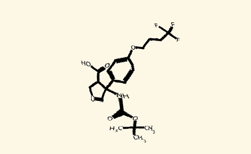 CC(C)(C)OC(=O)NC1(c2ccc(OCCCC(F)(F)F)cc2)COCC1C(=O)O